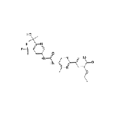 CCOc1cc(-c2ncc(NC(=O)Nc3cnc(C(C)(C)O)c(C(F)(F)F)c3)c(C)n2)c[nH]c1=O